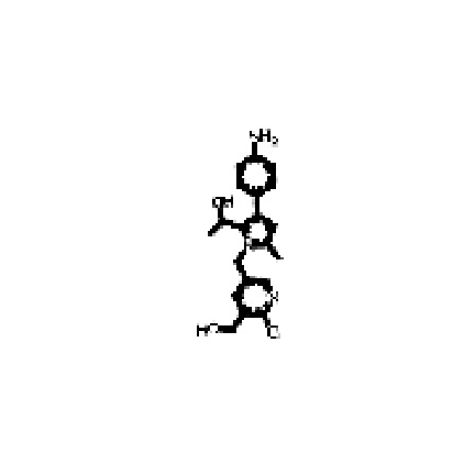 Cc1cc(-c2ccc(N)cc2)c(C(C)O)n1Cc1cnc(Cl)c(CO)c1